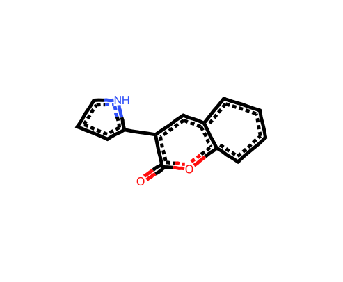 O=c1oc2ccccc2cc1-c1ccc[nH]1